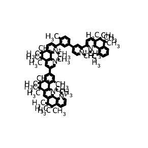 Cc1ccc(-c2cc[n+](C)c(-c3ccc4c([n+]3C)-c3c(C)cccc3C(C)(C)C4(C)C)c2)cc1-c1ccc2c([n+]1C)-c1c(cc(-c3cc(C)c4c(c3)C(C)(C)C(C)(C)c3cc5c([n+](C)c3-4)-c3c(ccc[n+]3C)C(C)(C)C5(C)C)c[n+]1C)C(C)(C)C2(C)C